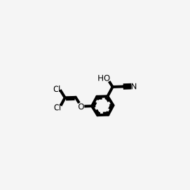 N#CC(O)c1cccc(OC=C(Cl)Cl)c1